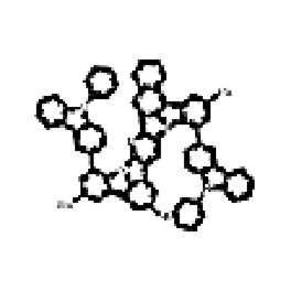 CC(C)(C)c1cc(-c2ccc3c(c2)c2ccccc2n3-c2ccccc2)c2c(c1)c1c3ccccc3cc3c4nc5c(cc4n2c31)c1cc(C(C)(C)C)cc2c3cc(C(C)(C)C)cc(-c4ccc6c(c4)c4ccccc4n6-c4ccccc4)c3n5c12